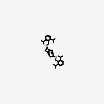 CC(C)c1cccc(C(C)C)c1CN=C1Cc2nc1cc1c2CC1=NCc1c(C(C)C)cccc1C(C)C